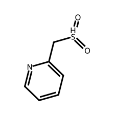 O=[SH](=O)Cc1ccccn1